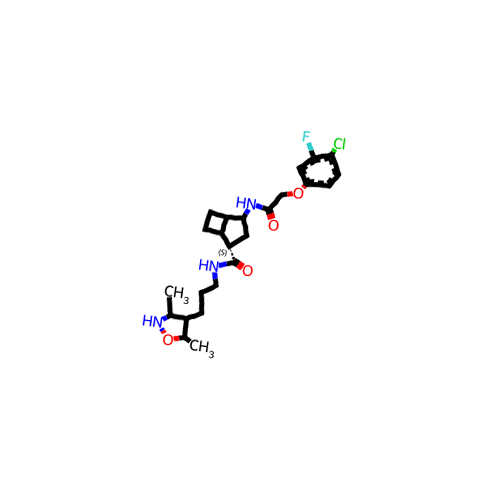 CC1NOC(C)C1CCCNC(=O)[C@H]1CC(NC(=O)COc2ccc(Cl)c(F)c2)C2CCC21